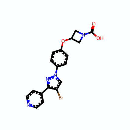 O=C(O)N1CC(Oc2ccc(-n3cc(Br)c(-c4ccncc4)n3)cc2)C1